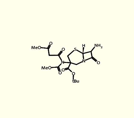 COC(=O)CC(=O)N(C(=O)OC)C1(C(=O)OC(C)(C)C)CS[C@@H]2C(N)C(=O)N2C1